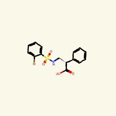 O=C(O)[C@H](CNS(=O)(=O)c1ccccc1Br)c1ccccc1